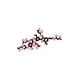 CCc1cc(C2Oc3c(CC)cc(/C=C/COC(=O)CC(C)=O)cc3C2COC(=O)CC(C)=O)ccc1OC(COC(=O)CC(C)=O)C(OC(=O)CC(C)=O)c1ccc(OC(C)COC(=O)CC(C)=O)c(OC)c1